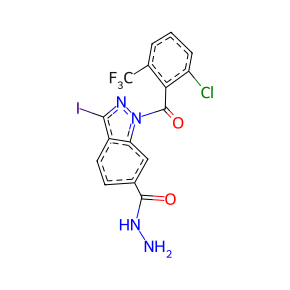 NNC(=O)c1ccc2c(I)nn(C(=O)c3c(Cl)cccc3C(F)(F)F)c2c1